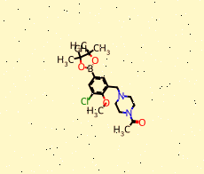 COc1c(Cl)cc(B2OC(C)(C)C(C)(C)O2)cc1CN1CCN(C(C)=O)CC1